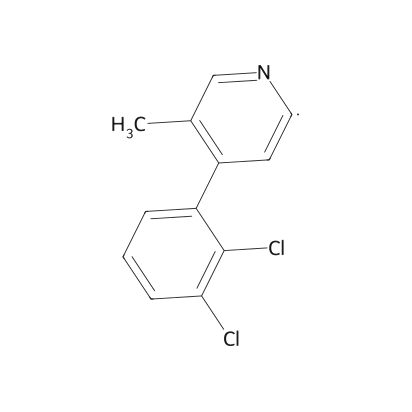 Cc1cn[c]cc1-c1cccc(Cl)c1Cl